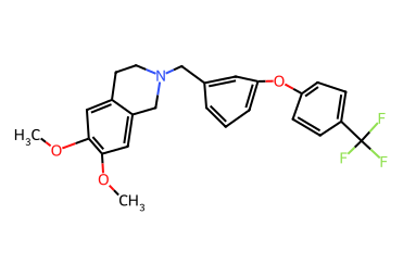 COc1cc2c(cc1OC)CN(Cc1cccc(Oc3ccc(C(F)(F)F)cc3)c1)CC2